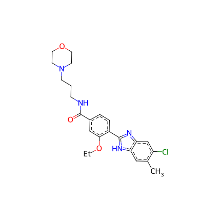 CCOc1cc(C(=O)NCCCN2CCOCC2)ccc1-c1nc2cc(Cl)c(C)cc2[nH]1